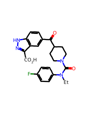 CCN(C(=O)N1CCC(C(=O)c2ccc3[nH]nc(C(=O)O)c3c2)CC1)c1ccc(F)cc1